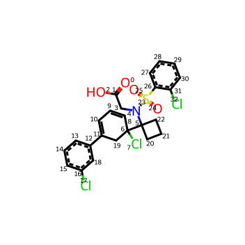 O=C(O)CN(C1(C2(Cl)C=CC=C(c3cccc(Cl)c3)C2)CCC1)S(=O)(=O)c1ccccc1Cl